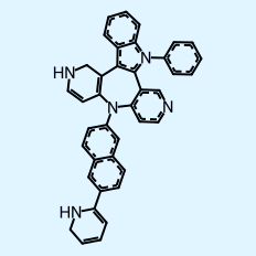 C1=CCNC(c2ccc3cc(N4C5=C(CNC=C5)c5c(n(-c6ccccc6)c6ccccc56)-c5cnccc54)ccc3c2)=C1